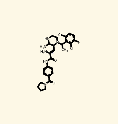 CC(c1c(Cl)ccc(F)c1Cl)N1CCNC(N)C1/C=C(\N)C(=O)Nc1ccc(C(=O)N2CCCC2)cc1